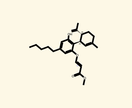 C=C(C)[C@@H]1CCC(C)=C[C@H]1c1c(O)cc(CCCCC)cc1O/C=C/C(=O)OC